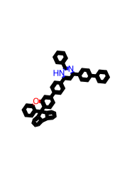 C1=C(c2ccc(-c3ccc4c(c3)Oc3ccccc3C43c4ccccc4-c4ccccc43)cc2)NC(c2ccccc2)N=C1c1ccc(-c2ccccc2)cc1